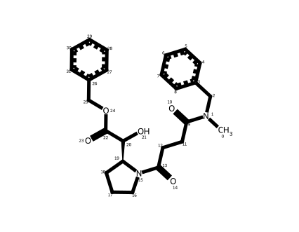 CN(Cc1ccccc1)C(=O)CCC(=O)N1CCC[C@H]1C(O)C(=O)OCc1ccccc1